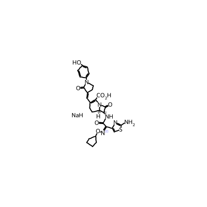 Nc1nc(/C(=N/OC2CCCC2)C(=O)N[C@@H]2C(=O)N3C(C(=O)O)=C(C=C4CCN(c5ccc(O)cc5)C4=O)CC[C@H]23)cs1.[NaH]